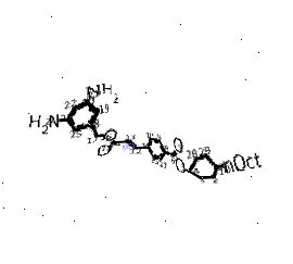 CCCCCCCCC1CCC(OC(=O)c2ccc(/C=C/C(=O)OCc3cc(N)cc(N)c3)cc2)CC1